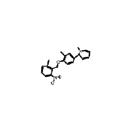 Cc1cc(C2C=CC=CN2C)ccc1OCc1c(C)cccc1[N+](=O)[O-]